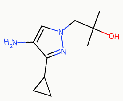 CC(C)(O)Cn1cc(N)c(C2CC2)n1